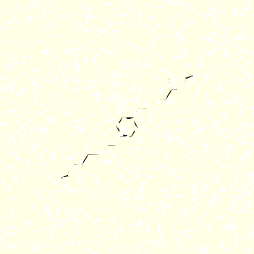 O=C1OCC(=CCOCc2ccc(COCC=C3COC(=O)O3)cc2)O1